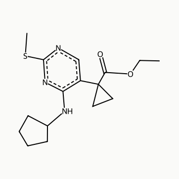 CCOC(=O)C1(c2cnc(SC)nc2NC2CCCC2)CC1